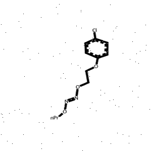 CCCO/N=N/OCCOc1ccc(Cl)cc1